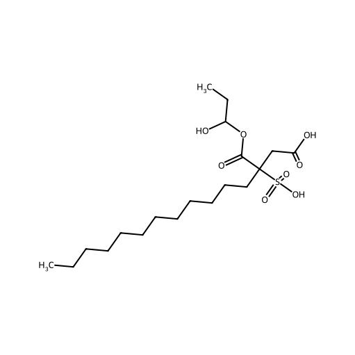 CCCCCCCCCCCCC(CC(=O)O)(C(=O)OC(O)CC)S(=O)(=O)O